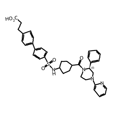 O=C(O)CCc1ccc(-c2ccc(S(=O)(=O)NC3CCC(C(=O)N4CCN(c5ccccn5)C[C@@H]4c4ccccc4)CC3)cc2)cc1